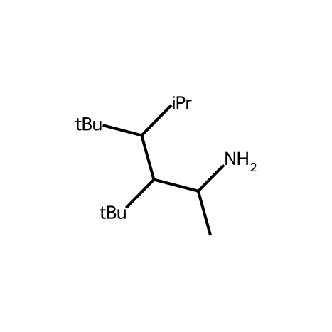 CC(C)C(C(C(C)N)C(C)(C)C)C(C)(C)C